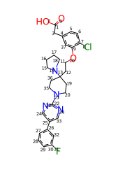 O=C(O)Cc1ccc(Cl)c(OCCC2(N3CCCC3)CCN(c3ncc(-c4cccc(F)c4)cn3)CC2)c1